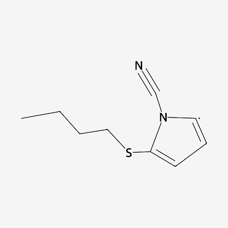 CCCCSc1cc[c]n1C#N